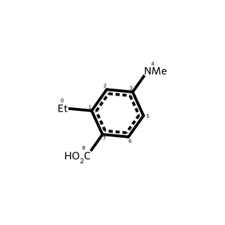 CCc1cc(NC)ccc1C(=O)O